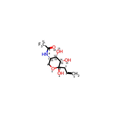 C=CCC1(O)OC[C@H](NC(=O)C(F)(F)F)[C@H](O)[C@@H]1O